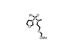 COCOCCN(C)P(=O)(C(C)C)N1CCOC1